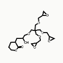 O=C1OCCCC1CC(O)COCC(COCC1CO1)(COCC1CO1)COCC1CO1